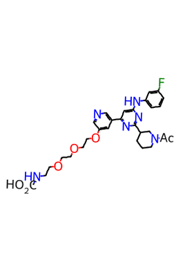 CC(=O)N1CCCC(c2nc(Nc3cccc(F)c3)cc(-c3cncc(OCCOCCOCCNC(=O)O)c3)n2)C1